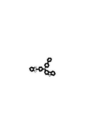 c1ccc(-c2ccc(N(c3ccc(-c4nc5ccccc5o4)cc3)c3ccc4sc5ccccc5c4c3)cc2)cc1